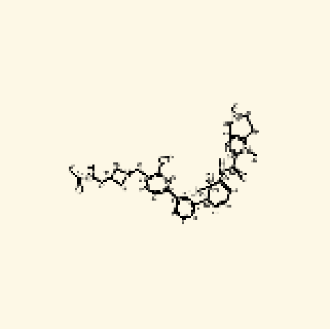 COc1nc(-c2cccc(C3C=CC=C(NC(=O)c4nc5c(n4C)CCN(C)C5)C3(Cl)Cl)c2)ccc1CN1CC(CNC(C)=O)C1